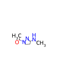 CNC1=NN(C(C)=O)CC1